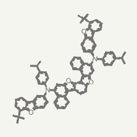 CC(C)c1ccc(N(c2ccc3oc4c(C(C)(C)C)cccc4c3c2)c2cc3oc4c(ccc5oc6cc(N(c7ccc(C(C)C)cc7)c7ccc8oc9c(C(C)(C)C)cccc9c8c7)c7ccccc7c6c54)c3c3ccccc23)cc1